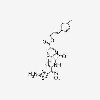 CON=C(C(=O)NC1C(=O)N2C=C(C(=O)OCC(C)=Cc3ccc(C)cc3)CS[C@H]12)c1csc(N)n1